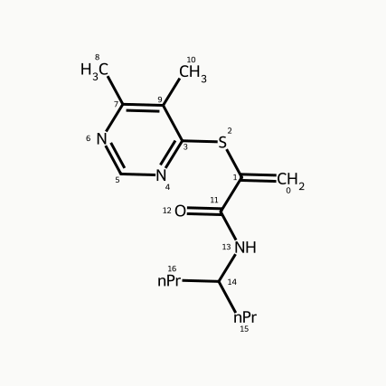 C=C(Sc1ncnc(C)c1C)C(=O)NC(CCC)CCC